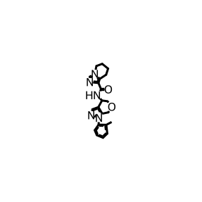 Cc1ccccc1-n1ncc2c1COCC2NC(=O)c1ncn2c1CCCC2